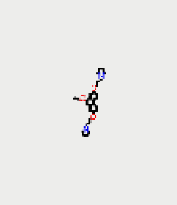 CCCOc1cc2cc(OCCCN3CCCC3)ccc2c2ccc(OCCCN3CCCC3)cc12